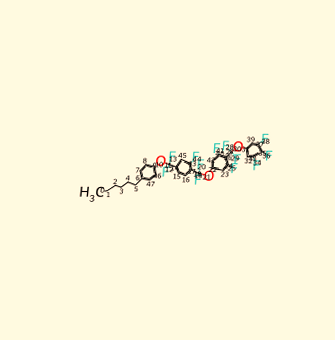 CCCCCCc1ccc(OC(F)(F)c2ccc(C(F)(F)Oc3cc(F)c(C(F)(F)Oc4cc(F)c(F)c(F)c4)c(F)c3)c(F)c2)cc1